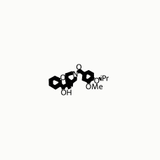 COc1cc(C(=O)N2CCC3(CC2)Oc2ccccc2C(O)C3(C)C)ccc1OC(C)C